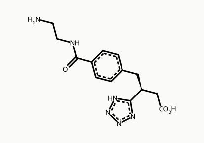 NCCNC(=O)c1ccc(C[C@@H](CC(=O)O)c2nnn[nH]2)cc1